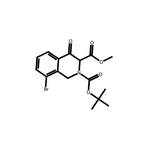 COC(=O)C1C(=O)c2cccc(Br)c2CN1C(=O)OC(C)(C)C